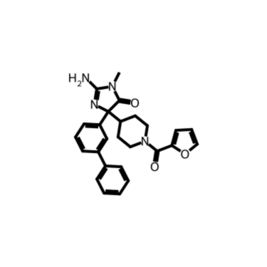 CN1C(=O)C(c2cccc(-c3ccccc3)c2)(C2CCN(C(=O)c3ccco3)CC2)N=C1N